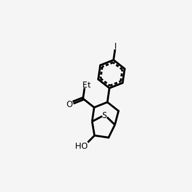 CCC(=O)C1C(c2ccc(I)cc2)CC2CC(O)C1S2